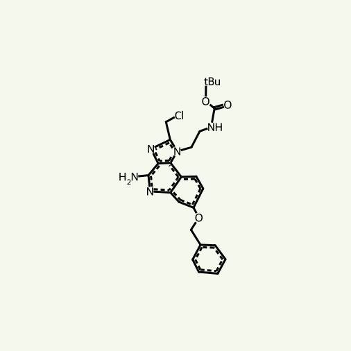 CC(C)(C)OC(=O)NCCn1c(CCl)nc2c(N)nc3cc(OCc4ccccc4)ccc3c21